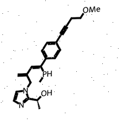 C=C(/C=C(\PC)c1ccc(C#CCCOC)cc1)Cn1ccnc1[C@H](C)O